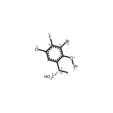 CC(C)Oc1c([C@H](C)C(=O)O)cc(Cl)c(F)c1Br